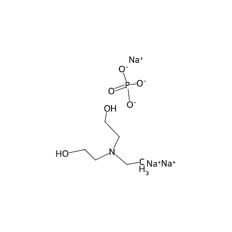 CCN(CCO)CCO.O=P([O-])([O-])[O-].[Na+].[Na+].[Na+]